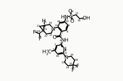 Cc1cc(NC(=O)c2ccc(NS(=O)(=O)CCO)cc2N2CC[C@]3(C(F)F)C[C@@H]3C2)nc(N2CCC(F)(F)CC2)c1